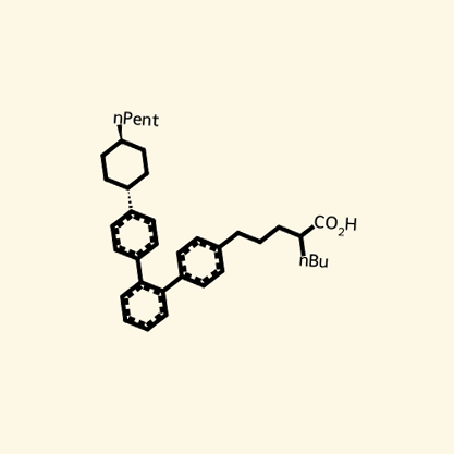 CCCCC[C@H]1CC[C@H](c2ccc(-c3ccccc3-c3ccc(CCCC(CCCC)C(=O)O)cc3)cc2)CC1